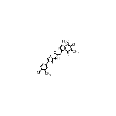 Cn1c(=O)c2c(CC(=O)Nc3nc(-c4ccc(Cl)c(C(F)(F)F)c4)cs3)nsc2n(C)c1=O